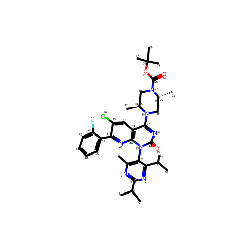 Cc1nc(C(C)C)nc(C(C)C)c1-n1c(=O)nc(N2C[C@@H](C)N(C(=O)OC(C)(C)C)C[C@@H]2C)c2cc(Cl)c(-c3ccccc3F)nc21